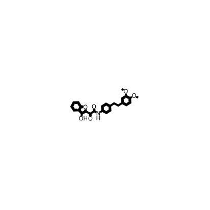 COc1ccc(CCc2ccc(NC(=O)C(=O)c3oc4ccccc4c3O)cc2)cc1OC